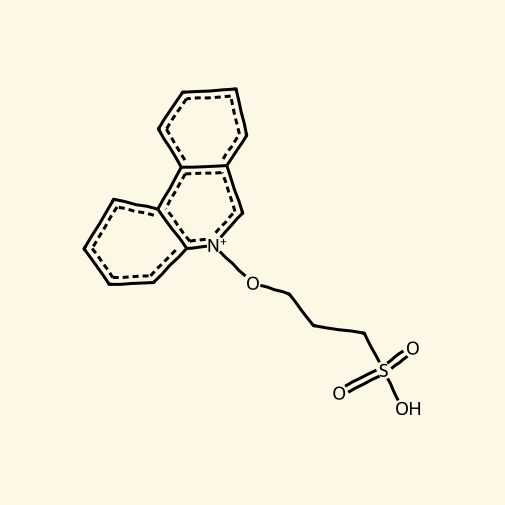 O=S(=O)(O)CCCO[n+]1cc2ccccc2c2ccccc21